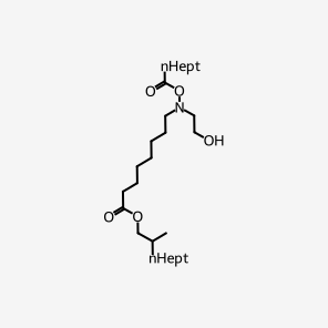 CCCCCCCC(=O)ON(CCO)CCCCCCCC(=O)OCC(C)CCCCCCC